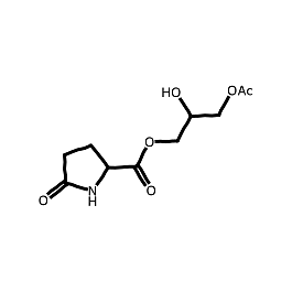 CC(=O)OCC(O)COC(=O)C1CCC(=O)N1